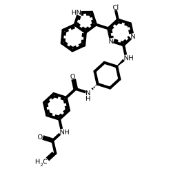 C=CC(=O)Nc1cccc(C(=O)N[C@H]2CC[C@H](Nc3ncc(Cl)c(-c4c[nH]c5ccccc45)n3)CC2)c1